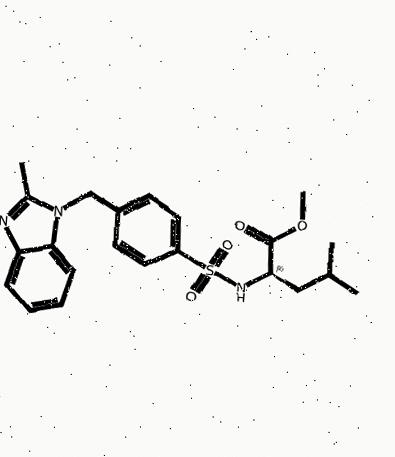 COC(=O)[C@@H](CC(C)C)NS(=O)(=O)c1ccc(Cn2c(C)nc3ccccc32)cc1